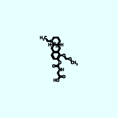 CCN1CCC[C@@H]2Cc3c(ccc(OC(=O)NCC(=O)O)c3OCOC)C[C@H]21